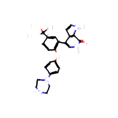 Cn1cc(-c2cc(C(C)(C)O)ccc2Oc2ccc(N3CCNCC3)cc2)c2cc[nH]c2c1=O